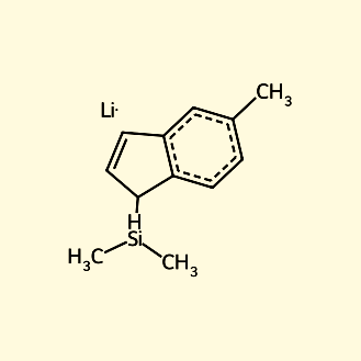 Cc1ccc2c(c1)C=CC2[SiH](C)C.[Li]